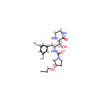 CCCO[C@@H]1CCN(C(=O)N[C@@H](Cc2cc(F)cc(F)c2)[C@H](O)[C@@H]2NCCNC2=O)C1